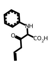 C=CCC(=O)C(Nc1ccccc1)C(=O)O